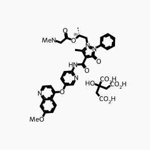 CNCC(=O)O[C@H](C)Cn1c(C)c(C(=O)Nc2ccc(Oc3ccnc4cc(OC)ccc34)cn2)c(=O)n1-c1ccccc1.O=C(O)CC(O)(CC(=O)O)C(=O)O